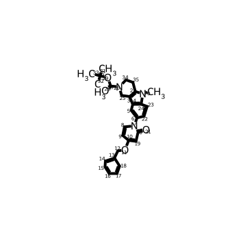 Cn1c2c(c3cc(-n4ccc(OCc5ccccc5)cc4=O)ccc31)CN(C(=O)OC(C)(C)C)CC2